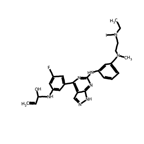 C=CC(O)Nc1cc(F)cc(-c2nc(Nc3cccc(N(C)CCN(I)CC)c3)nc3[nH]ncc23)c1